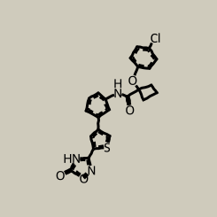 O=C(Nc1cccc(-c2csc(-c3noc(=O)[nH]3)c2)c1)C1(Oc2ccc(Cl)cc2)CCC1